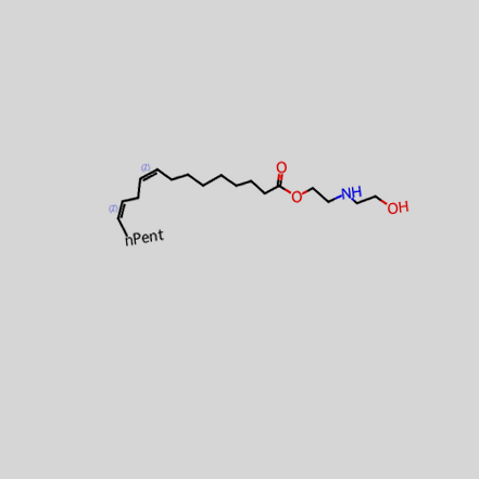 CCCCC/C=C\C/C=C\CCCCCCCC(=O)OCCNCCO